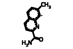 Cc1[c]c2nc(C(N)=O)ccc2cc1